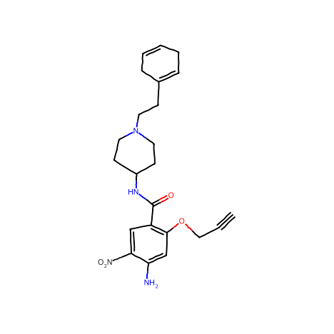 C#CCOc1cc(N)c([N+](=O)[O-])cc1C(=O)NC1CCN(CCC2=CCC=CC2)CC1